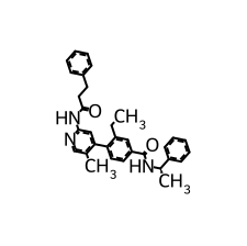 CCc1cc(C(=O)N[C@H](C)c2ccccc2)ccc1-c1cc(NC(=O)CCc2ccccc2)ncc1C